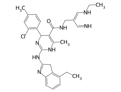 CCN/C=C(\C=N)CNC(=O)C1=C(C)NC(NC2=Nc3cccc(CC)c3C2)=NC1c1ccc(C)cc1Cl